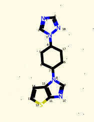 c1ncn(C2CCC(n3cnc4sccc43)CC2)n1